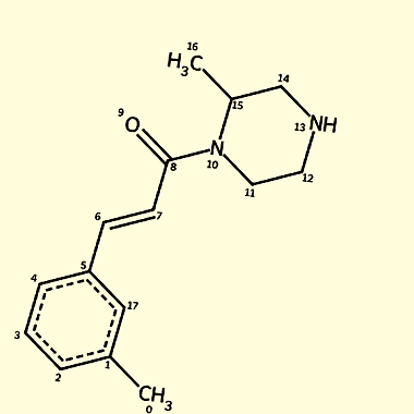 Cc1cccc(C=CC(=O)N2CCNCC2C)c1